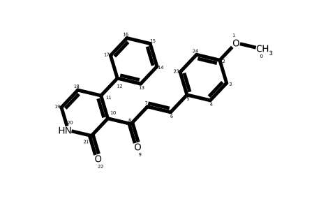 COc1ccc(/C=C/C(=O)c2c(-c3ccccc3)cc[nH]c2=O)cc1